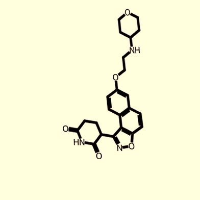 O=C1CCC(c2noc3ccc4cc(OCCNC5CCOCC5)ccc4c23)C(=O)N1